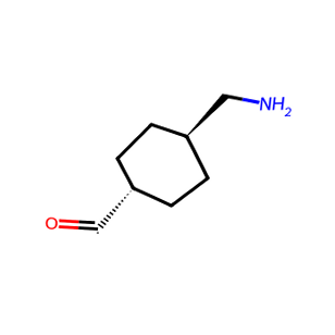 NC[C@H]1CC[C@H]([C]=O)CC1